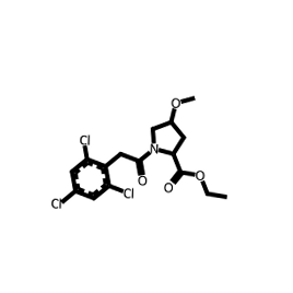 CCOC(=O)C1CC(OC)CN1C(=O)Cc1c(Cl)cc(Cl)cc1Cl